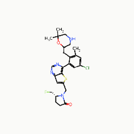 Cc1cc(Cl)cc(-c2ncnc3cc(CN4C(=O)CC[C@@H]4CF)sc23)c1C[C@@H]1CNCC(C)(C)O1